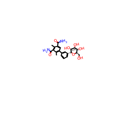 Cc1c(C(N)=O)cc(-c2cccc([C@H]3O[C@H](CO)[C@@H](O)[C@H](O)[C@@H]3O)c2)c(C)c1C(N)=O